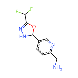 NCc1ccc(C2NN=C(C(F)F)O2)cn1